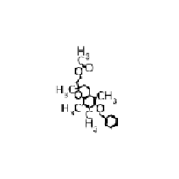 CC(=O)OCCC1(C)CCc2c(C)c(OCc3ccccc3)c(C)c(C)c2O1